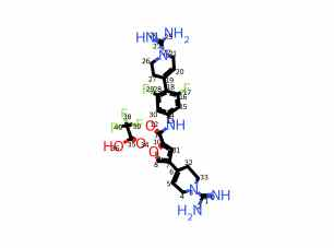 N=C(N)N1CC=C(c2coc(C(=O)Nc3cc(F)c(C4=CCN(C(=N)N)CC4)c(F)c3)c2)CC1.O=C(O)C(F)(F)F